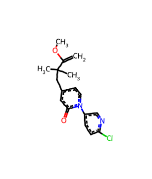 C=C(OC)C(C)(C)Cc1ccn(-c2ccc(Cl)nc2)c(=O)c1